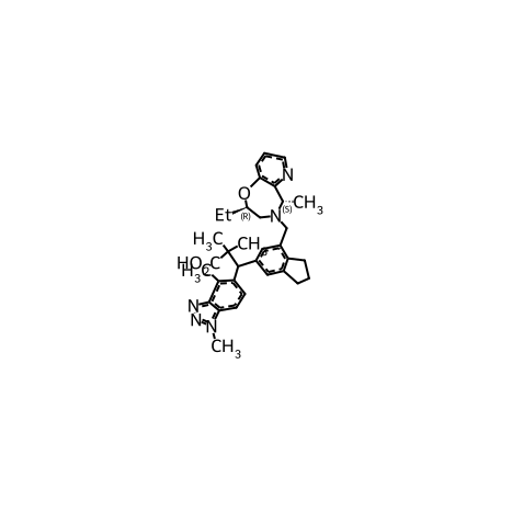 CC[C@@H]1CN(Cc2cc(C(c3ccc4c(nnn4C)c3C)C(C)(C)C(=O)O)cc3c2CCC3)[C@@H](C)c2ncccc2O1